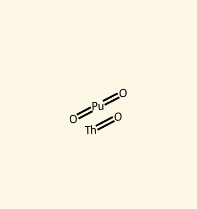 [O]=[Pu]=[O].[O]=[Th]